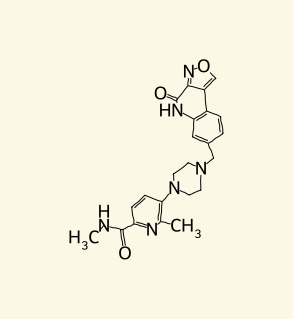 CNC(=O)c1ccc(N2CCN(Cc3ccc4c(c3)[nH]c(=O)c3nocc34)CC2)c(C)n1